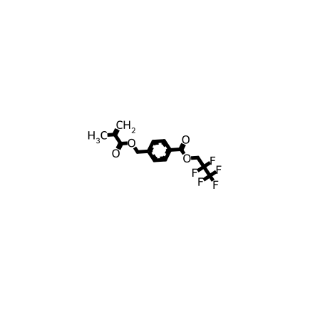 C=C(C)C(=O)OCc1ccc(C(=O)OCC(F)(F)C(F)(F)F)cc1